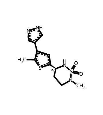 Cc1sc([C@@H]2CCN(C)S(=O)(=O)N2)cc1-c1cn[nH]c1